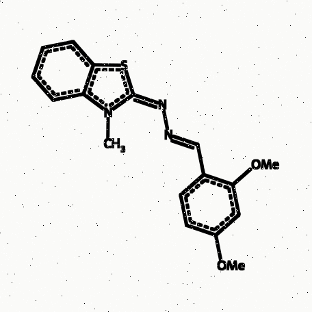 COc1ccc(C=NN=c2sc3ccccc3n2C)c(OC)c1